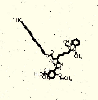 C#CC#CC#CC#CC#CC#COC(=O)c1nn2c(-c3cc(C(C)(C)C)ccc3OCC)nnc2/c1=C\C=C\C=C1N(CC)c2ccccc2N1CC